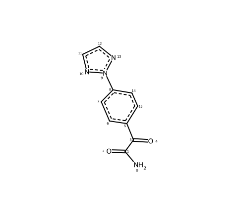 NC(=O)C(=O)c1ccc(-n2nccn2)cc1